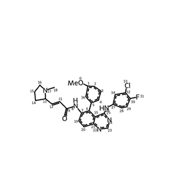 COc1cccc(-c2c(NC(=O)C=CC3CCCN3C)ccc3ncnc(Nc4ccc(F)c(Cl)c4)c23)c1